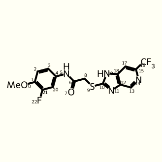 COc1ccc(NC(=O)CSc2nc3cnc(C(F)(F)F)cc3[nH]2)cc1F